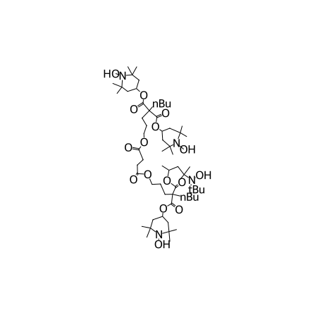 CCCCC(CCCOC(=O)CCC(=O)OCCCC(CCCC)(C(=O)OC1CC(C)(C)N(O)C(C)(C)C1)C(=O)OC1CC(C)(C)N(O)C(C)(C)C1)(C(=O)OC(C)CC(C)(C)N(O)C(C)(C)C)C(=O)OC1CC(C)(C)N(O)C(C)(C)C1